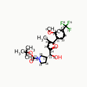 COc1cc(C(F)(F)F)ccc1-c1oc(C(O)[C@@H]2CCN(C(=O)OC(C)(C)C)C2)cc1C